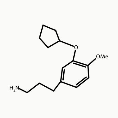 COc1ccc(CCCN)cc1OC1CCCC1